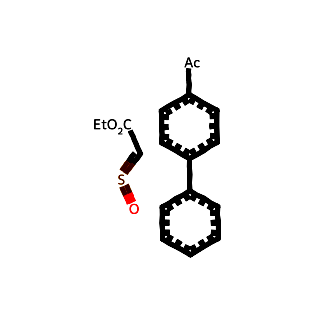 CC(=O)c1ccc(-c2ccccc2)cc1.CCOC(=O)C=S=O